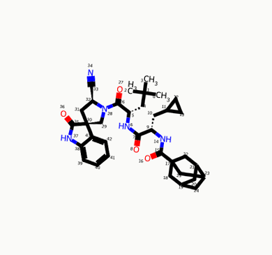 CC(C)(C)C[C@H](NC(=O)[C@H](CC1CC1)NC(=O)C12CC3CC(C1)C(C3)C2)C(=O)N1C[C@]2(C[C@H]1C#N)C(=O)Nc1ccccc12